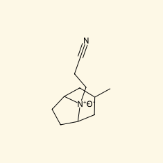 CC1CC2CCC(C1)[N+]2([O-])CCC#N